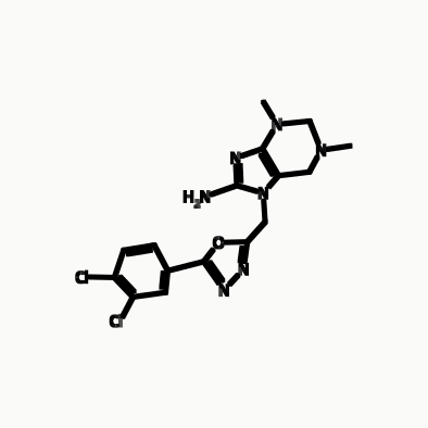 CN1Cc2c(nc(N)n2Cc2nnc(-c3ccc(Cl)c(Cl)c3)o2)N(C)C1